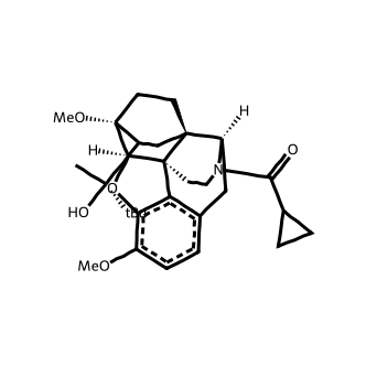 COc1ccc2c3c1O[C@@H]1[C@]34CCN(C(=O)C3CC3)[C@H](C2)[C@]42CC[C@@]1(OC)C([C@](C)(O)C(C)(C)C)C2